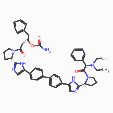 CCN(CC)[C@@H](C(=O)N1CCC[C@H]1c1ncc(-c2ccc(-c3ccc(-c4cnc([C@@H]5CCCN5C(=O)C[C@H](Cc5ccccc5)OC(N)=O)[nH]4)cc3)cc2)[nH]1)c1ccccc1